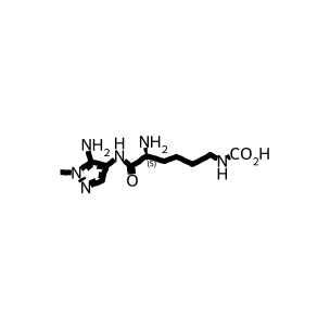 Cn1ncc(NC(=O)[C@@H](N)CCCCNC(=O)O)c1N